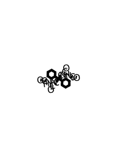 CC(C)(C1CCCCC1(N=C=O)N=C=O)C1CCCCC1(N=C=O)N=C=O